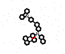 c1ccc(-c2cccc3cccc(-c4ccc(N(c5ccc6ccccc6c5)c5ccc6ccc(-c7ccc(-n8c9ccccc9c9ccccc98)cc7)cc6c5)cc4)c23)cc1